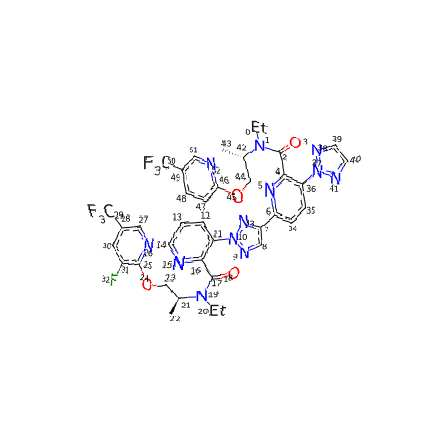 CCN(C(=O)c1nc(-c2cnn(-c3cccnc3C(=O)N(CC)[C@@H](C)COc3ncc(C(F)(F)F)cc3F)n2)ccc1-n1nccn1)[C@@H](C)COc1ccc(C(F)(F)F)cn1